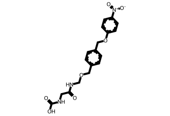 O=C(O)NCC(=O)NCOCc1ccc(COc2ccc([N+](=O)[O-])cc2)cc1